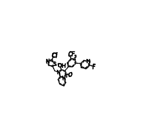 O=c1c(-c2cc(-c3ccc(F)nc3)cc(C(F)(F)F)c2)c(O)n(Cc2cnc(Cl)s2)c2cccc[n+]12